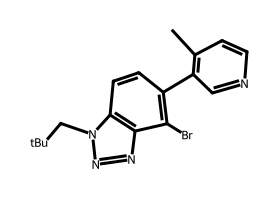 Cc1ccncc1-c1ccc2c(nnn2CC(C)(C)C)c1Br